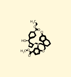 CCOC(=O)[C@H]1CC=C([C@H](O)[C@@H]2CC[C@H]2CN2CC3(CCCc4cc(Cl)ccc43)COc3ccc(C(=O)OC)cc32)CC1